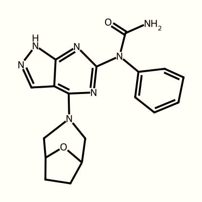 NC(=O)N(c1ccccc1)c1nc(N2CC3CCC(C2)O3)c2cn[nH]c2n1